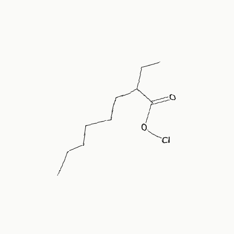 CCCCCCC(CC)C(=O)OCl